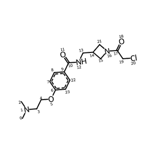 CN(C)CCOc1ccc(C(=O)NCC2CN(C(=O)CCl)C2)cc1